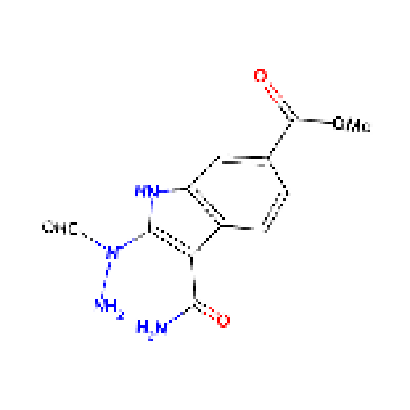 COC(=O)c1ccc2c(C(N)=O)c(N(N)C=O)[nH]c2c1